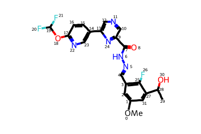 COc1cc(/C=N/NC(=O)c2cncc(-c3ccc(OC(F)F)nc3)n2)c(F)c(C(C)O)c1